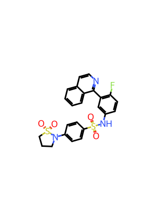 O=S(=O)(Nc1ccc(F)c(-c2nccc3ccccc23)c1)c1ccc(N2CCCS2(=O)=O)cc1